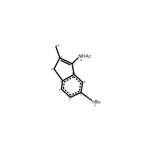 CCCCc1ccc2c(c1)C(NC(C)=O)=C(C)C2